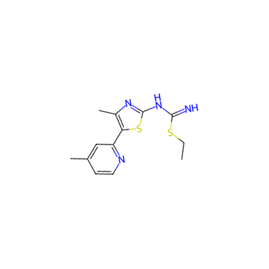 CCSC(=N)Nc1nc(C)c(-c2cc(C)ccn2)s1